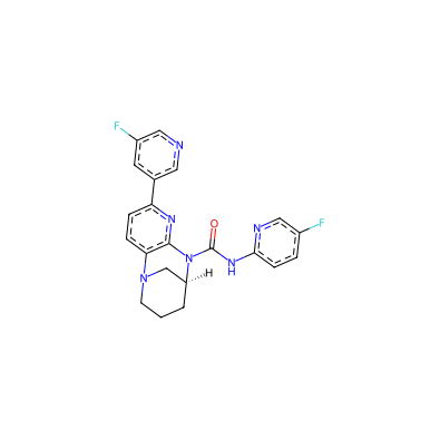 O=C(Nc1ccc(F)cn1)N1c2nc(-c3cncc(F)c3)ccc2N2CCC[C@H]1C2